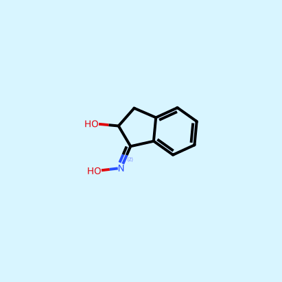 O/N=C1/c2ccccc2CC1O